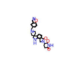 O=C1CCC(N2Cc3c(ccc4c3NCC43CCN(Cc4ccc5oncc5c4)CC3)C2=O)C(=O)N1